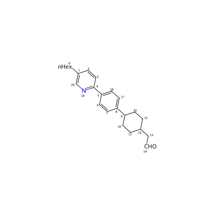 CCCCCCc1ccc(-c2ccc(C3CCC(CC=O)CC3)cc2)nc1